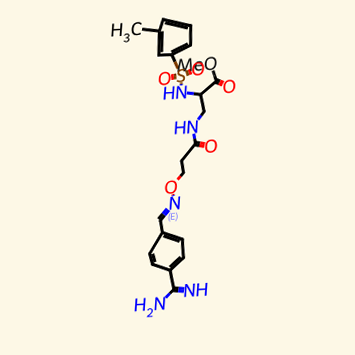 COC(=O)C(CNC(=O)CCO/N=C/c1ccc(C(=N)N)cc1)NS(=O)(=O)c1cccc(C)c1